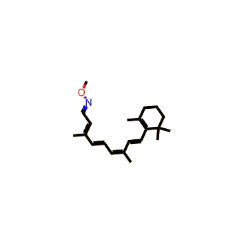 CON=CC=C(C)/C=C/C=C(C)\C=C\C1=C(C)CCCC1(C)C